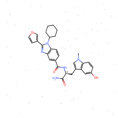 Cn1cc(C[C@H](NC(=O)c2ccc3c(c2)nc(-c2ccoc2)n3C2CCCCC2)C(N)=O)c2cc(O)ccc21